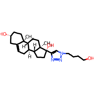 C[C@@]12CC[C@@H](O)CC1=CC[C@H]1[C@H]2CC[C@]2(C)[C@@H]1CC[C@]2(O)c1cn(CCCCO)nn1